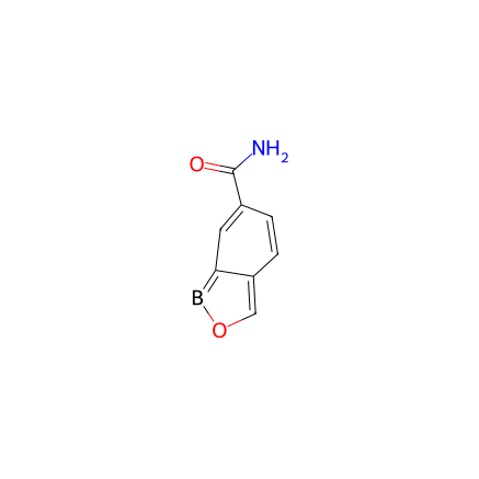 NC(=O)c1ccc2cobc2c1